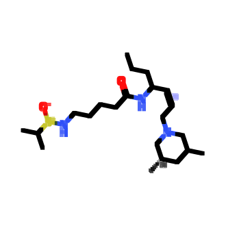 CCCC(/C=C\CN1CC(C)C[C@H](C)C1)NC(=O)CCCCN[S+]([O-])C(C)C